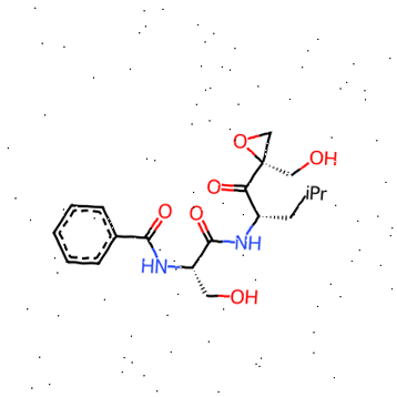 CC(C)C[C@H](NC(=O)[C@H](CO)NC(=O)c1ccccc1)C(=O)[C@]1(CO)CO1